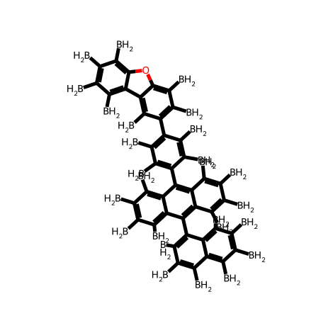 Bc1c(B)c(-c2c3c(B)c(B)c(B)c(B)c3c(-c3c(B)c(B)c(B)c4c(B)c(B)c(B)c(B)c34)c3c(B)c(B)c(B)c(B)c23)c(B)c(B)c1-c1c(B)c(B)c2oc3c(B)c(B)c(B)c(B)c3c2c1B